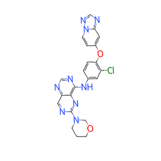 Clc1cc(Nc2ncnc3cnc(N4CCCOC4)nc23)ccc1Oc1ccn2ncnc2c1